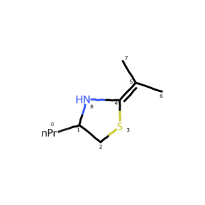 CCCC1CSC(=C(C)C)N1